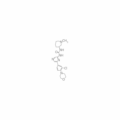 CN1CCCC[C@H](NC(=O)Nc2cncc(-c3ccc(N4CCOCC4)c(Cl)c3)n2)C1